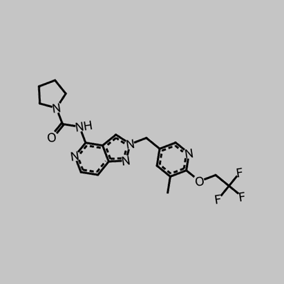 Cc1cc(Cn2cc3c(NC(=O)N4CCCC4)nccc3n2)cnc1OCC(F)(F)F